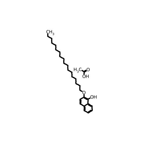 CC(=O)O.CCCCCCCCCCCCCCCCCCOc1ccc2ccccc2c1O